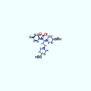 CCCCC1CCN(CCC(N2CCC(CCCC)CC2)n2c(=O)oc3cc(F)ccc32)CC1